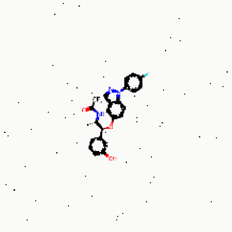 C[C@H](NC(=O)C(F)(F)F)[C@@H](Oc1ccc2c(cnn2-c2ccc(F)cc2)c1)c1cccc(O)c1